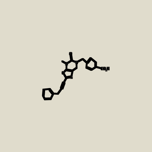 CN1C(=O)N(Cc2ccc(C(=O)O)cc2)Cc2nc(C#CCc3ccccc3)oc21